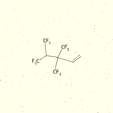 C=CC(C(C(F)(F)F)C(F)(F)F)(C(F)(F)F)C(F)(F)F